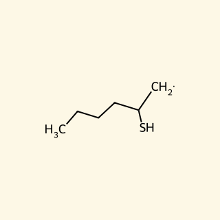 [CH2]C(S)CCCC